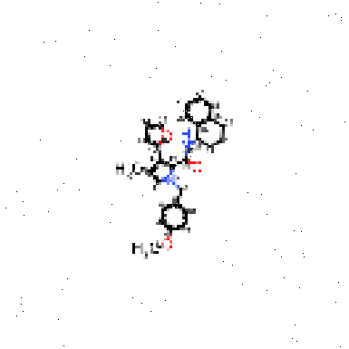 COc1ccc(Cn2cc(C)c(-c3ccco3)c2C(=O)NC2CCCc3ccccc32)cc1